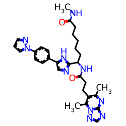 CNC(=O)CCCCCC(NC(=O)CCc1c(C)nc2ncnn2c1C)c1ncc(-c2ccc(-n3cccn3)cc2)[nH]1